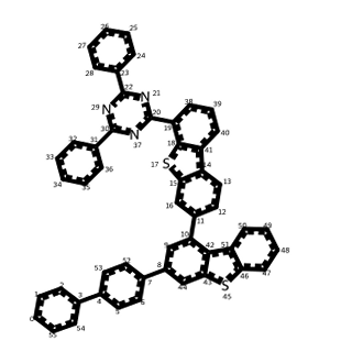 c1ccc(-c2ccc(-c3cc(-c4ccc5c(c4)sc4c(-c6nc(-c7ccccc7)nc(-c7ccccc7)n6)cccc45)c4c(c3)sc3ccccc34)cc2)cc1